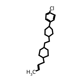 C/C=C/CC1CCC(CCC2CCC(c3ccc(Cl)cc3)CC2)CC1